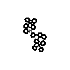 c1ccc(N(c2cccc(-c3ccc4ccccc4c3-c3ccc4c(c3)C(c3ccccc3)(c3ccccc3)c3ccccc3-4)c2)c2cccc3c2-c2ccccc2C32c3ccccc3-c3ccccc32)cc1